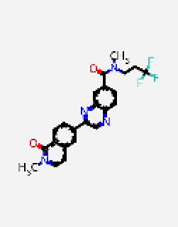 CN(CCC(F)(F)F)C(=O)c1ccc2ncc(-c3ccc4c(=O)n(C)ccc4c3)nc2c1